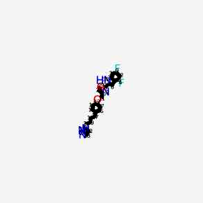 Fc1cc(F)c2cc(-c3nc(COc4ccc(CCCCn5ccnn5)cc4)co3)[nH]c2c1